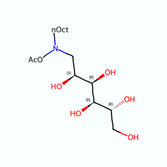 CCCCCCCCN(C[C@H](O)[C@@H](O)[C@H](O)[C@H](O)CO)OC(C)=O